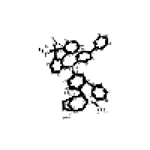 CC[C@H]1C[C@H]2CC[C@H](C2)[C@]12c1ccccc1-c1cc(N(c3ccc(-c4ccccc4)cc3)c3cccc4c3-c3ccccc3C4(C)C)ccc12